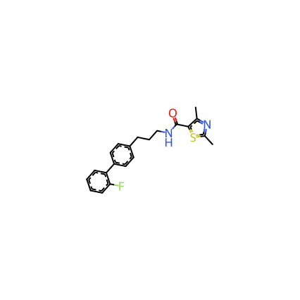 Cc1nc(C)c(C(=O)NCCCc2ccc(-c3ccccc3F)cc2)s1